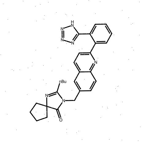 CCCCC1=NC2(CCCC2)C(=O)N1Cc1ccc2nc(-c3ccccc3-c3nnn[nH]3)ccc2c1